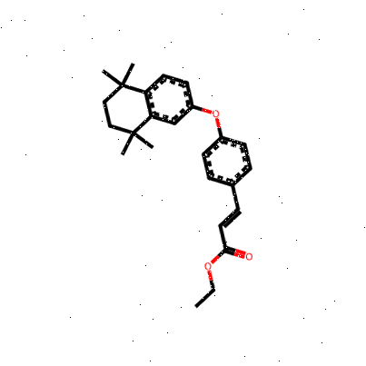 CCOC(=O)C=Cc1ccc(Oc2ccc3c(c2)C(C)(C)CCC3(C)C)cc1